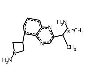 CC(c1cnc2c(C3CN(N)C3)cccc2n1)[C@@H](C)N